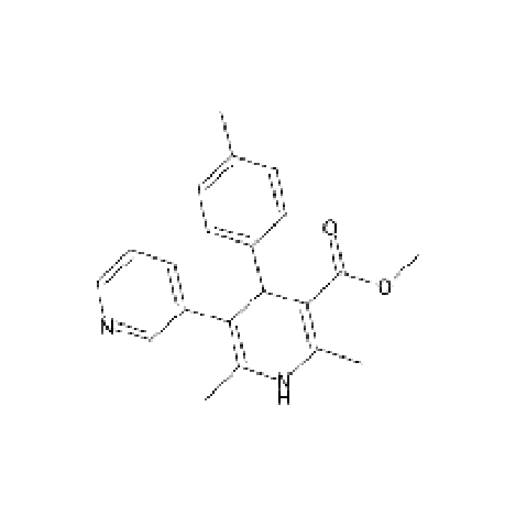 COC(=O)C1=C(C)NC(C)=C(c2cccnc2)C1c1ccc(C)cc1